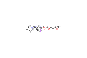 CCOCCCOCOC/C(I)=C/C(C)=C/N1CCCCC1